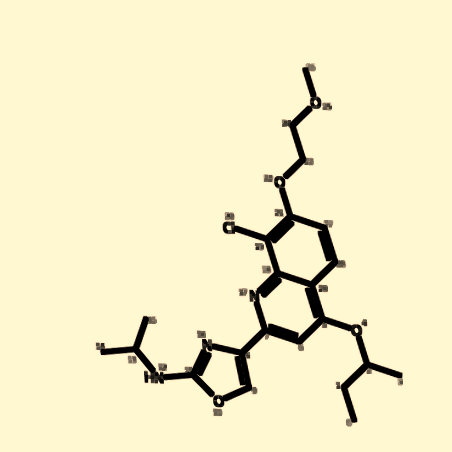 CCC(C)Oc1cc(-c2coc(NC(C)C)n2)nc2c(Cl)c(OCCOC)ccc12